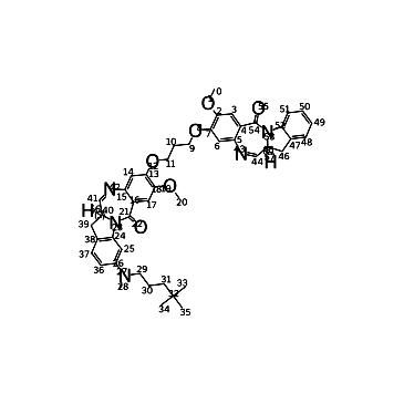 COc1cc2c(cc1OCCCOc1cc3c(cc1OC)C(=O)N1c4cc(N(C)CCCC(C)(C)C)ccc4C[C@H]1C=N3)N=C[C@@H]1Cc3ccccc3N1C2=O